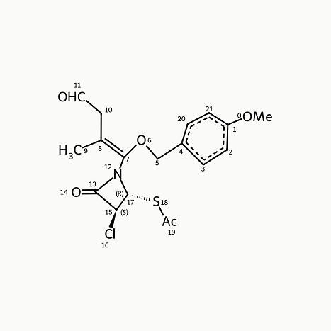 COc1ccc(COC(=C(C)CC=O)N2C(=O)[C@H](Cl)[C@H]2SC(C)=O)cc1